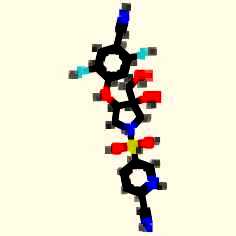 N#Cc1ccc(S(=O)(=O)N2CC(Oc3cc(F)c(C#N)cc3F)[C@](O)(CO)C2)cn1